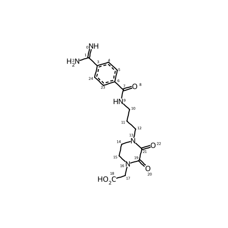 N=C(N)c1ccc(C(=O)NCCCN2CCN(CC(=O)O)C(=O)C2=O)cc1